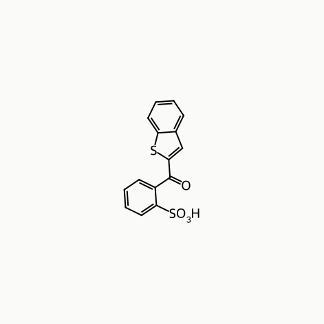 O=C(c1cc2ccccc2s1)c1ccccc1S(=O)(=O)O